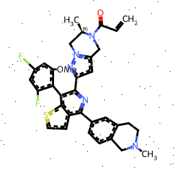 C=CC(=O)N1Cc2cc(-c3nc(-c4ccc5c(c4)CCN(C)C5)c4ccsc4c3-c3c(F)cc(F)cc3OC)nn2C[C@H]1C